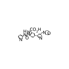 O=C(O)c1nn(C(=O)Nc2cccnc2)c2ccc(-c3cncc(CN4CCOCC4)c3)cc12